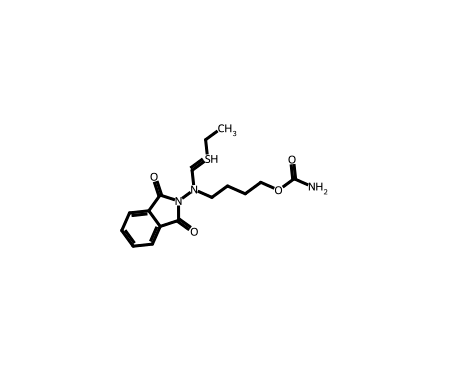 CC[SH]=CN(CCCCOC(N)=O)N1C(=O)c2ccccc2C1=O